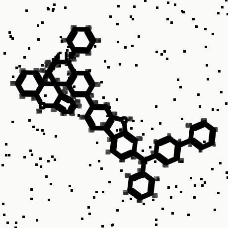 c1ccc(-c2ccc(N(c3ccccc3)c3ccc4c(c3)oc3cc(-c5ccc6c(c5)C5(c7ccccc7Oc7ccccc75)c5ccccc5[SiH]6c5ccccc5)ccc34)cc2)cc1